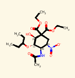 CCOC(=O)C1(C(=O)OCC)C[C@@H]([N+](=O)[O-])[C@@H](NC(C)=O)[C@H](OC(CC)CC)[C@H]1O